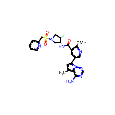 COc1ncc(-c2cc(C(F)(F)F)c3c(N)ncnn23)cc1C(=O)N[C@@H]1CN(S(=O)(=O)Cc2ccccn2)C[C@@H]1F